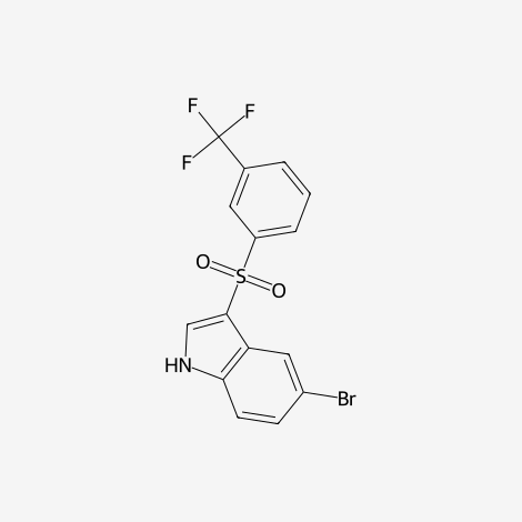 O=S(=O)(c1cccc(C(F)(F)F)c1)c1c[nH]c2ccc(Br)cc12